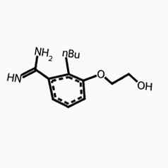 CCCCc1c(OCCO)cccc1C(=N)N